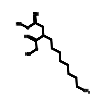 CCCCCCCCCC(CC(=N)OO)C(=N)OO